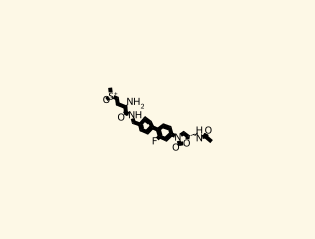 CC(=O)NC[C@H]1CN(c2ccc(-c3ccc(CNC(=O)[C@@H](N)CC[S+](C)[O-])cc3)c(F)c2)C(=O)O1